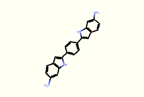 Nc1ccc2cc(-c3ccc(-c4cc5ccc(N)cc5[nH]4)cc3)[nH]c2c1